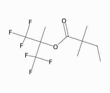 CCC(C)(C)C(=O)OC(C)(C(F)(F)F)C(F)(F)F